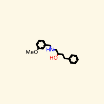 COc1cccc(CNCC(O)CCc2ccccc2)c1